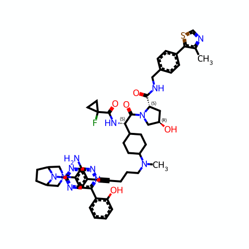 Cc1ncsc1-c1ccc(CNC(=O)[C@@H]2C[C@@H](O)CN2C(=O)[C@@H](NC(=O)C2(F)CC2)C2CCC(N(C)CCCC#Cc3cnc(N4C5CCC4CN(c4cc(-c6ccccc6O)nnc4N)C5)nc3)CC2)cc1